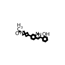 CC(=O)N1CC2(CC(c3ccc4cc(-c5ccccc5O)nnc4c3)C2)C1